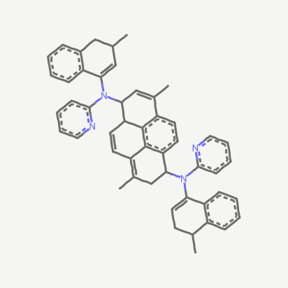 CC1=CC(N(C2=CC(C)Cc3ccccc32)c2ccccn2)C2C=CC3=C(C)CC(N(C4=CCC(C)c5ccccc54)c4ccccn4)c4ccc1c2c43